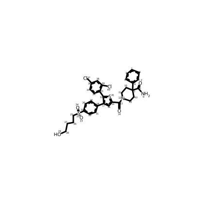 NC(=O)C1(c2ccccc2)CCN(C(=O)c2cc(-c3ccc(S(=O)(=O)CCCCO)cc3)c(-c3ccc(Cl)cc3Cl)s2)CC1